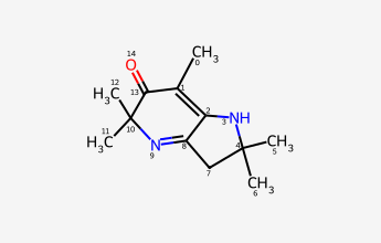 CC1=C2NC(C)(C)CC2=NC(C)(C)C1=O